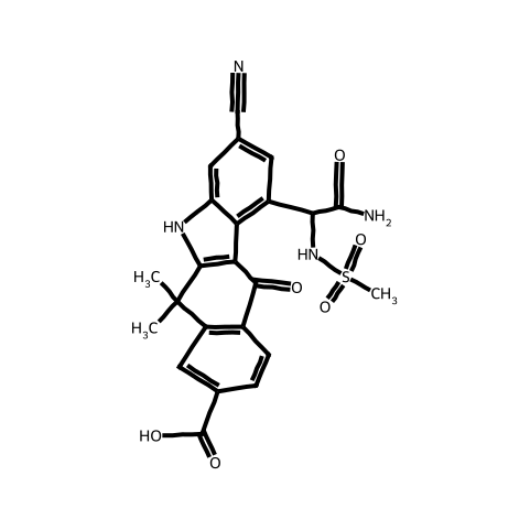 CC1(C)c2cc(C(=O)O)ccc2C(=O)c2c1[nH]c1cc(C#N)cc(C(NS(C)(=O)=O)C(N)=O)c21